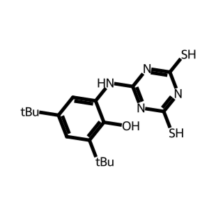 CC(C)(C)c1cc(Nc2nc(S)nc(S)n2)c(O)c(C(C)(C)C)c1